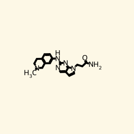 CN1CCc2ccc(Nc3ncc4ccn(CCC(N)=O)c4n3)cc2C1